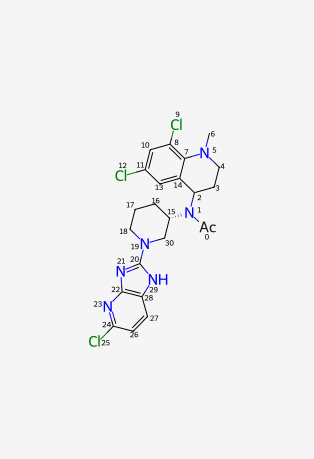 CC(=O)N(C1CCN(C)c2c(Cl)cc(Cl)cc21)[C@H]1CCCN(c2nc3nc(Cl)ccc3[nH]2)C1